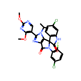 COc1ncc(-c2nc3c(n2C(C)C)C2(C(=O)Nc4cc(Cl)ccc42)N(c2cc(Cl)ccc2F)C3=O)c(OC)n1